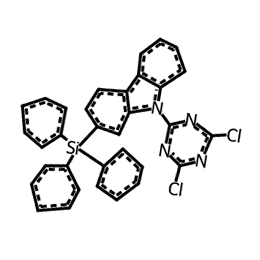 Clc1nc(Cl)nc(-n2c3ccccc3c3ccc([Si](c4ccccc4)(c4ccccc4)c4ccccc4)cc32)n1